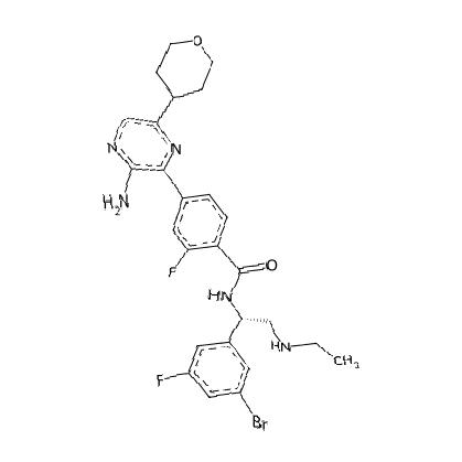 CCNC[C@@H](NC(=O)c1ccc(-c2nc(C3CCOCC3)cnc2N)cc1F)c1cc(F)cc(Br)c1